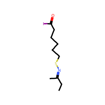 CC/C(C)=N/SCCCCCC(=O)I